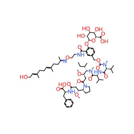 CCC(C)[C@@H]([C@@H](CC(=O)N1CCC[C@H]1[C@H](OC)[C@@H](C)C(=O)NC(Cc1ccccc1)C(=O)O)OC)N(C)C(=O)[C@@H](NC(=O)[C@H](C(C)C)N(C)C(=O)OCc1ccc(O[C@@H]2O[C@H](C(=O)O)[C@@H](O)[C@H](O)[C@H]2O)c(C(=O)NCCO/N=C(\C)CC/C(C)=C/CC/C(C)=C/CO)c1)C(C)C